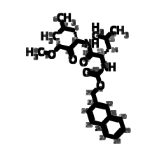 COCC(=O)[C@H](CC(C)C)NC(=O)[C@H](CC(C)C)NC(=O)OCc1ccc2ccccc2c1